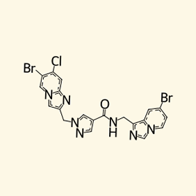 O=C(NCc1ncn2ccc(Br)cc12)c1cnn(Cc2cn3cc(Br)c(Cl)cc3n2)c1